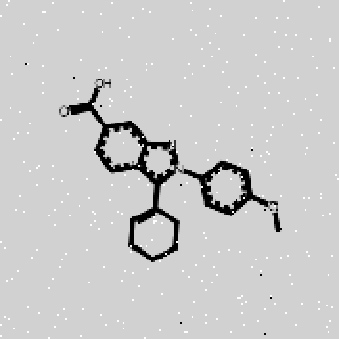 COc1ccc(-n2nc3cc(C(=O)O)ccc3c2C2=CCCCC2)cc1